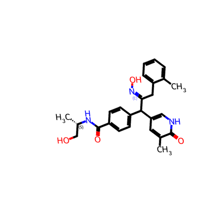 Cc1ccccc1C/C(=N\O)C(c1ccc(C(=O)N[C@@H](C)CO)cc1)c1c[nH]c(=O)c(C)c1